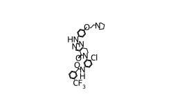 O=C(Nc1ccc(Cl)c(N2CCc3nc(Nc4ccc(OCCN5CCCC5)cc4)ncc3C2=O)c1)c1cccc(C(F)(F)F)c1